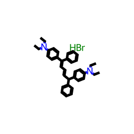 Br.CCN(CC)c1ccc(C(=CC=CC(c2ccccc2)c2ccc(N(CC)CC)cc2)c2ccccc2)cc1